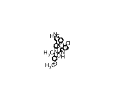 COc1ccc(C(C)NC(=O)c2[nH]c3ccc(Cl)cc3c2[P@]2CCCC(C=CC#N)C2(C)c2cccc(C)c2)cc1